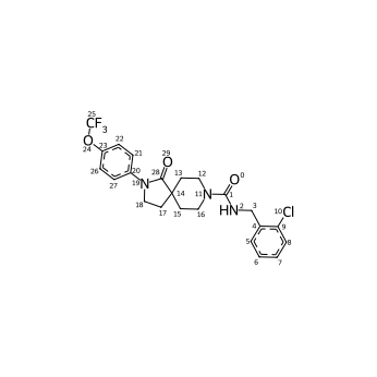 O=C(NCc1ccccc1Cl)N1CCC2(CC1)CCN(c1ccc(OC(F)(F)F)cc1)C2=O